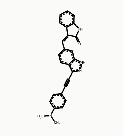 CN(C)c1ccc(C#Cc2n[nH]c3cc(C=C4C(=O)Nc5ccccc54)ccc23)cc1